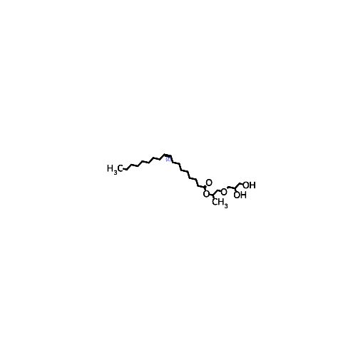 CCCCCCCC/C=C\CCCCCCCC(=O)OC(C)COCC(O)CO